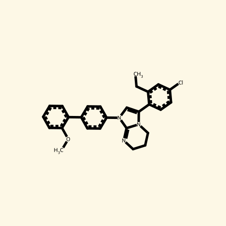 CCc1cc(Cl)ccc1C1=CN(c2ccc(-c3ccccc3OC)cc2)C2=NCCCN12